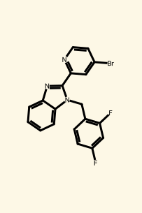 Fc1ccc(Cn2c(-c3cc(Br)ccn3)nc3ccccc32)c(F)c1